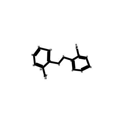 Fc1ccccc1[CH]Cc1ccccc1Br